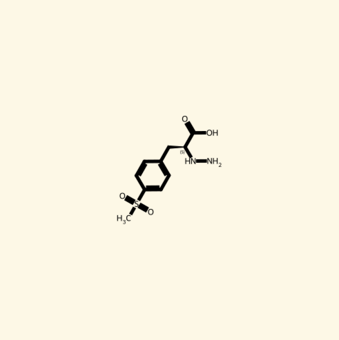 CS(=O)(=O)c1ccc(C[C@H](NN)C(=O)O)cc1